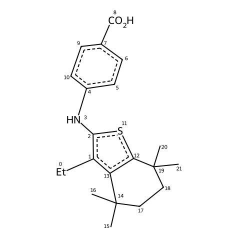 CCc1c(Nc2ccc(C(=O)O)cc2)sc2c1C(C)(C)CCC2(C)C